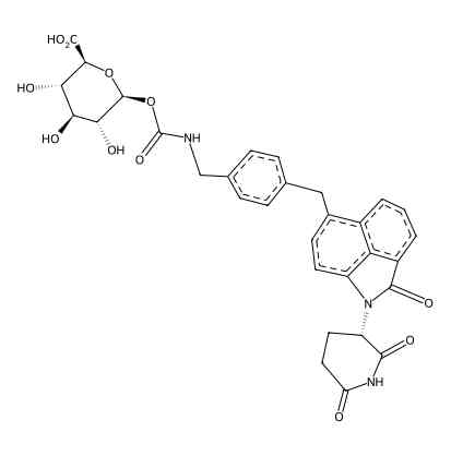 O=C1CC[C@H](N2C(=O)c3cccc4c(Cc5ccc(CNC(=O)O[C@@H]6O[C@H](C(=O)O)[C@@H](O)[C@H](O)[C@H]6O)cc5)ccc2c34)C(=O)N1